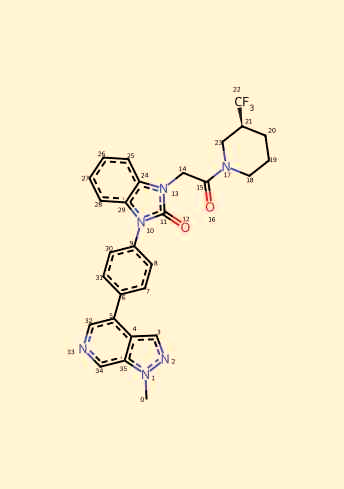 Cn1ncc2c(-c3ccc(-n4c(=O)n(CC(=O)N5CCC[C@H](C(F)(F)F)C5)c5ccccc54)cc3)cncc21